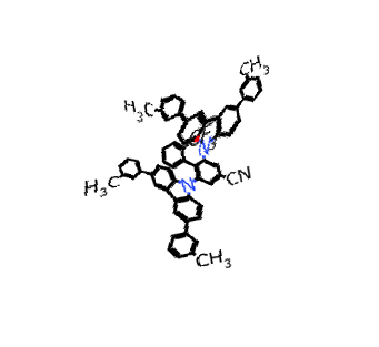 Cc1cccc(-c2ccc3c(c2)c2cc(-c4cccc(C)c4)ccc2n3-c2cc(C#N)cc(-n3c4ccc(-c5cccc(C)c5)cc4c4cc(-c5cccc(C)c5)ccc43)c2-c2ccccc2C(F)(F)F)c1